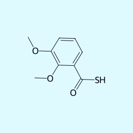 COc1cccc(C(=O)S)c1OC